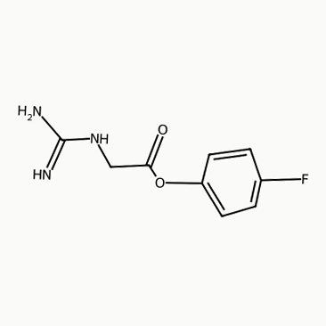 N=C(N)NCC(=O)Oc1ccc(F)cc1